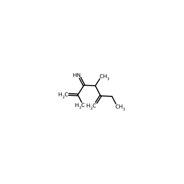 C=C(C)C(=N)C(C)C(=C)CC